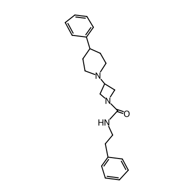 O=C(NCCc1ccccc1)N1CC(N2CCC(c3ccccc3)CC2)C1